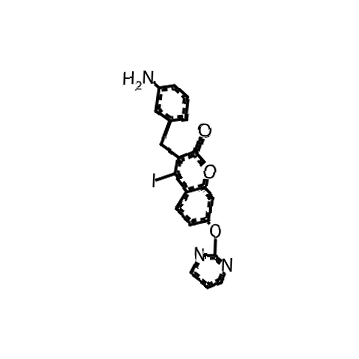 Nc1cccc(Cc2c(I)c3ccc(Oc4ncccn4)cc3oc2=O)c1